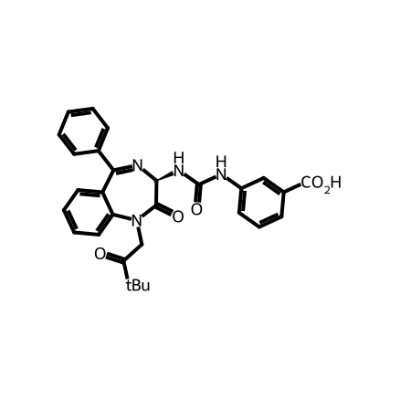 CC(C)(C)C(=O)CN1C(=O)[C@H](NC(=O)Nc2cccc(C(=O)O)c2)N=C(c2ccccc2)c2ccccc21